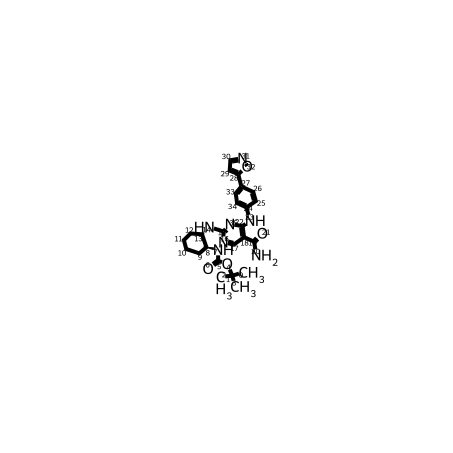 CC(C)(C)OC(=O)N[C@H]1CCCC[C@H]1Nc1ncc(C(N)=O)c(Nc2ccc(-c3ccno3)cc2)n1